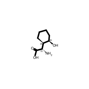 N[C@H](C(=O)O)[C@H]1CCCC[C@H]1O